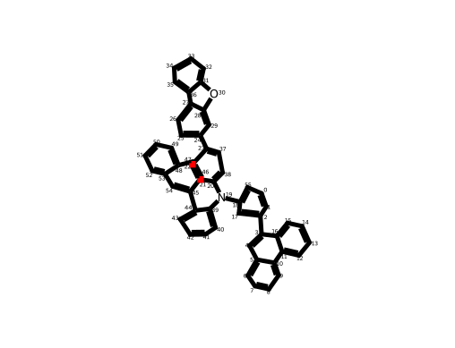 c1cc(-c2cc3ccccc3c3ccccc23)cc(N(c2ccc(-c3ccc4c(c3)oc3ccccc34)cc2)c2ccccc2-c2ccc3ccccc3c2)c1